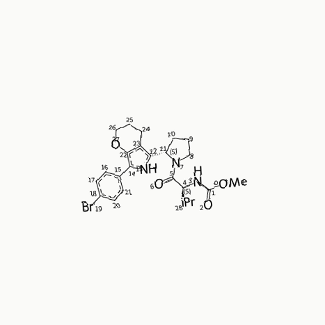 COC(=O)N[C@H](C(=O)N1CCC[C@H]1c1[nH]c(-c2ccc(Br)cc2)c2c1CCCO2)C(C)C